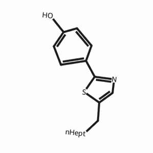 CCCCCCCCc1cnc(-c2ccc(O)cc2)s1